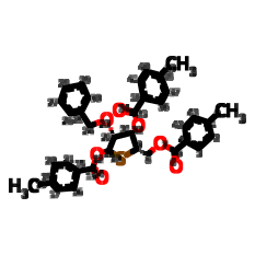 Cc1ccc(C(=O)OC[C@@H]2SC(OC(=O)c3ccc(C)cc3)[C@H](OCc3ccccc3)[C@@H]2OC(=O)c2ccc(C)cc2)cc1